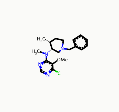 COc1c(Cl)ncnc1N(C)[C@H]1CN(Cc2ccccc2)CC[C@H]1C